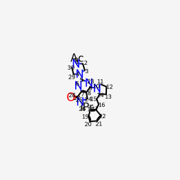 CC(=O)N1CCN(c2nc3c(c(N4CCCC4CCc4ccccc4)n2)CN(C(C)C)C3=O)CC1